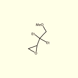 CCC(CC)(COC)C1CO1